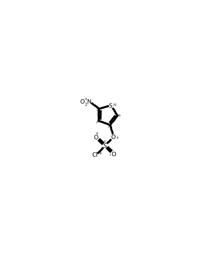 O=[N+]([O-])c1cc(OS(=O)(=O)Cl)cs1